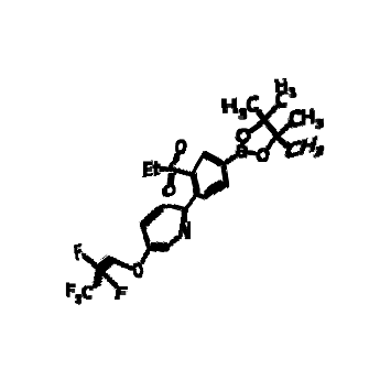 CCS(=O)(=O)c1cc(B2OC(C)(C)C(C)(C)O2)ccc1-c1ccc(OCC(F)(F)C(F)(F)F)cn1